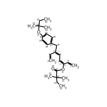 C=C/C(=C\C=C(/C=C)OC(=O)C(C)(C)CC)Cc1ccc(OC(C)(C)CC)cc1